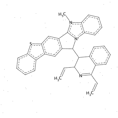 C=CC1=NC(C=C)C(C2c3cc4c(cc3-c3n(C)c5ccccc5[n+]32)sc2ccccc24)c2ccccc21